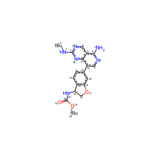 CC(C)(C)Nc1ncc2c(N)ncc(-c3ccc4c(c3)OCC4NC(=O)OC(C)(C)C)c2n1